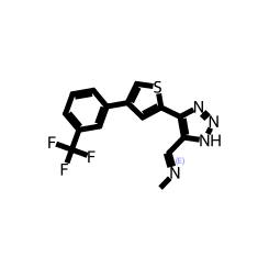 C/N=C/c1[nH]nnc1-c1cc(-c2cccc(C(F)(F)F)c2)cs1